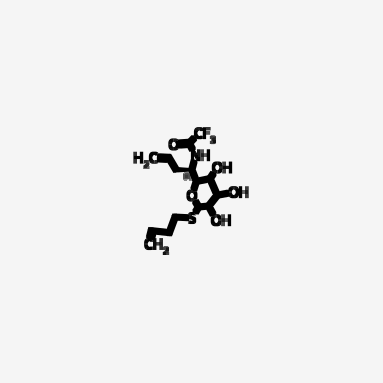 C=CCCSC1OC([C@@H](CC=C)NC(=O)C(F)(F)F)C(O)C(O)C1O